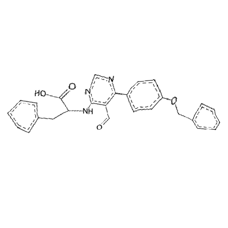 O=Cc1c(NC(Cc2ccccc2)C(=O)O)ncnc1-c1ccc(OCc2ccccc2)cc1